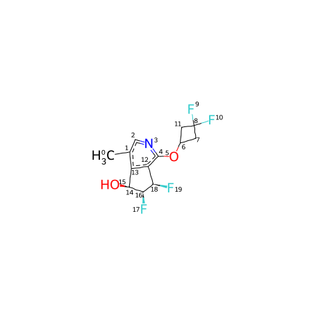 Cc1cnc(OC2CC(F)(F)C2)c2c1[C@H](O)[C@H](F)[C@@H]2F